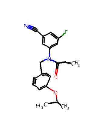 CCC(=O)N(Cc1cccc(OC(C)C)c1)c1cc(F)cc(C#N)c1